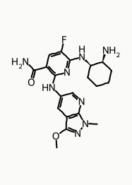 COc1nn(C)c2ncc(Nc3nc(N[C@@H]4CCCC[C@@H]4N)c(F)cc3C(N)=O)cc12